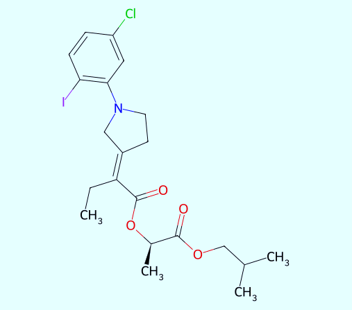 CCC(C(=O)O[C@H](C)C(=O)OCC(C)C)=C1CCN(c2cc(Cl)ccc2I)C1